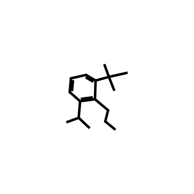 CCCc1c(C(C)C)cccc1C(C)(C)C